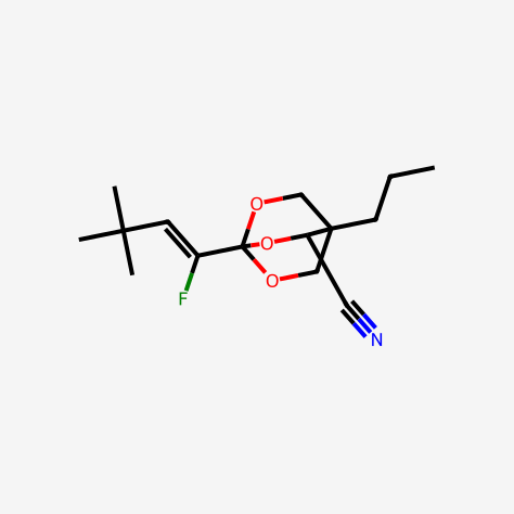 CCCC12COC(C(F)=CC(C)(C)C)(OC1)OC2C#N